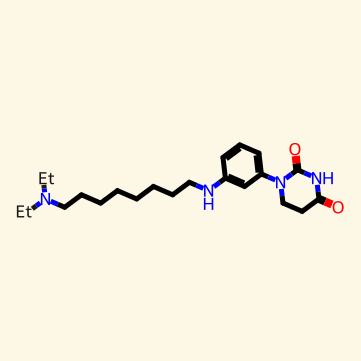 CCN(CC)CCCCCCCCNc1cccc(N2CCC(=O)NC2=O)c1